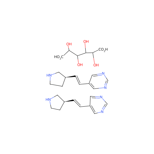 C(=C\[C@H]1CCNC1)/c1cncnc1.C(=C\[C@H]1CCNC1)/c1cncnc1.O=C(O)C(O)C(O)C(O)C(O)C(=O)O